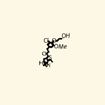 COc1cc(CCC(=O)c2sc(C)c3c2C[C@@H]2[C@H]3C2(C)C)cc(Cl)c1OCCCO